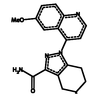 COc1ccc2nccc(-n3nc(C(N)=O)c4c3CC[C]C4)c2c1